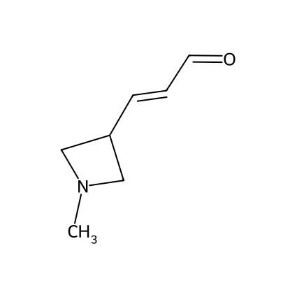 CN1CC(C=CC=O)C1